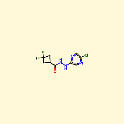 O=C(NNc1cnc(Cl)cn1)C1CC(F)(F)C1